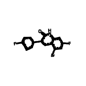 O=c1[nH]c2cc(F)cc(Br)c2cc1-c1ccc(F)cc1